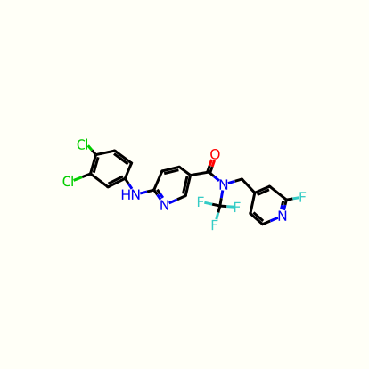 O=C(c1ccc(Nc2ccc(Cl)c(Cl)c2)nc1)N(Cc1ccnc(F)c1)C(F)(F)F